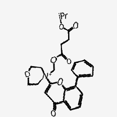 CC(C)OC(=O)CCC(=O)OC[N+]1(c2cc(=O)c3cccc(-c4ccccc4)c3o2)CCOCC1